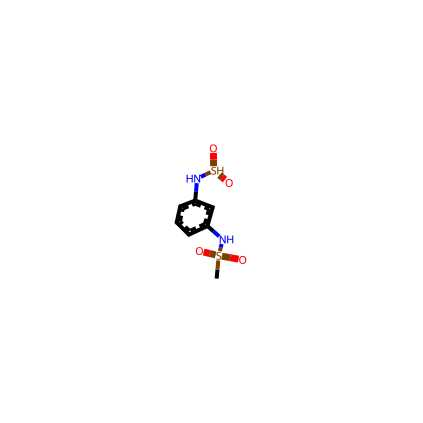 CS(=O)(=O)Nc1cccc(N[SH](=O)=O)c1